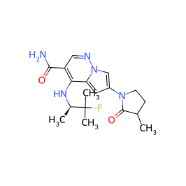 CC1CCN(c2cc3c(N[C@H](C)C(C)(C)F)c(C(N)=O)cnn3c2)C1=O